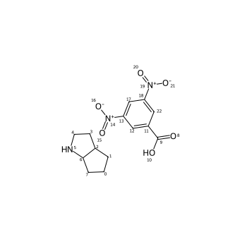 C1CC2CCNC2C1.O=C(O)c1cc([N+](=O)[O-])cc([N+](=O)[O-])c1